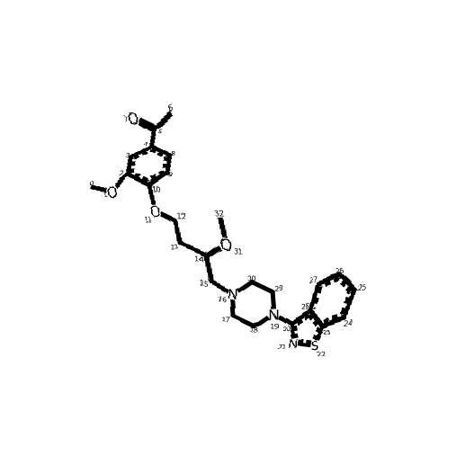 COc1cc(C(C)=O)ccc1OCCC(CN1CCN(c2nsc3ccccc23)CC1)OC